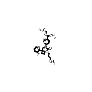 C=C(OCC)c1ccc(N(CC2(c3ncccc3F)CCC2)C(=O)OCCCC)nn1